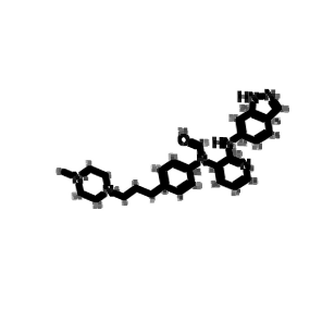 CN1CCN(CCCc2ccc(N(C=O)c3cccnc3Nc3ccc4cn[nH]c4c3)cc2)CC1